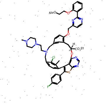 CCOC(=O)[C@H]1Cc2cc(ccc2OCc2ccnc(-c3ccccc3OCCOC)n2)CN(CCN2CCN(C)CC2)Cc2ccc(c(C)c2Cl)-c2c(-c3ccc(F)cc3)sc3ncnc(c23)O1